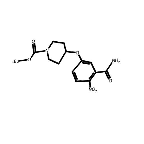 CC(C)(C)OC(=O)N1CCC(Oc2ccc([N+](=O)[O-])c(C(N)=O)c2)CC1